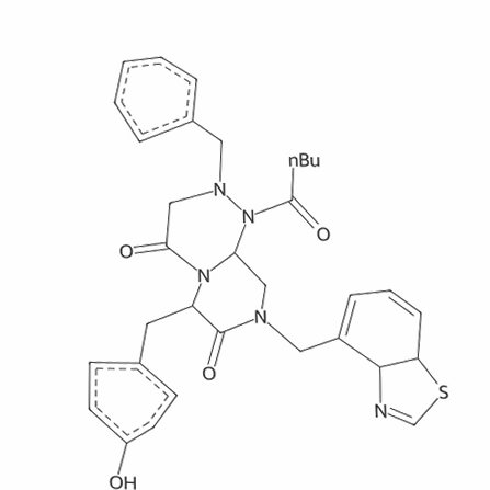 CCCCC(=O)N1C2CN(CC3=CC=CC4SC=NC34)C(=O)C(Cc3ccc(O)cc3)N2C(=O)CN1Cc1ccccc1